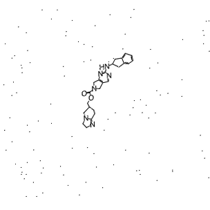 O=C(OCC1CCC2=NCCN2C1)N1Cc2cnc(NC3Cc4ccccc4C3)nc2C1